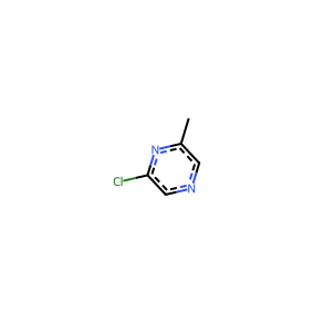 Cc1cncc(Cl)n1